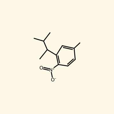 Cc1ccc([N+](=O)[O-])c(C(C)C(C)C)c1